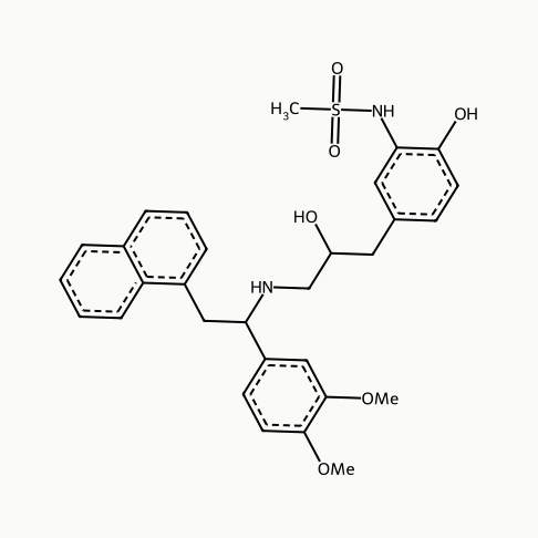 COc1ccc(C(Cc2cccc3ccccc23)NCC(O)Cc2ccc(O)c(NS(C)(=O)=O)c2)cc1OC